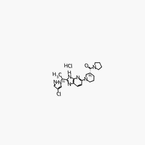 C[C@@H](c1nc2ccc(N3CCC[C@@H](C(=O)N4CCCC4)C3)nc2[nH]1)n1cc(Cl)cn1.Cl